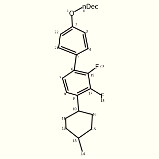 CCCCCCCCCCOc1ccc(-c2ccc(C3CCC(C)CC3)c(F)c2F)cc1